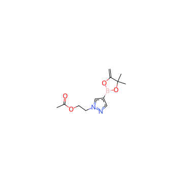 C=C1OB(c2cnn(CCOC(C)=O)c2)OC1(C)C